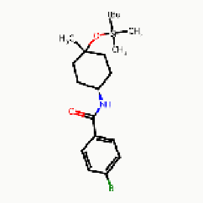 CC(C)(C)[Si](C)(C)O[C@]1(C)CC[C@@H](NC(=O)c2ccc(Br)cc2)CC1